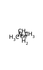 [CH3][GeH2][N](C)C